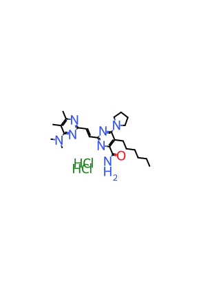 CCCCCCc1c(C(N)=O)nc(C=Cc2nc(C)c(C)c(N(C)C)n2)nc1N1CCCC1.Cl.Cl